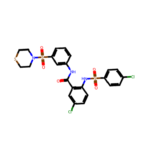 O=C(Nc1cccc(S(=O)(=O)N2CCSCC2)c1)c1cc(Cl)ccc1NS(=O)(=O)c1ccc(Cl)cc1